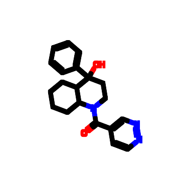 O=C(c1ccnnc1)N1CCC(O)(c2ccccc2)C2CCCCC21